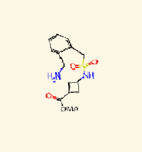 COC(=O)C1CC(NS(=O)(=O)Cc2ccccc2CN)C1